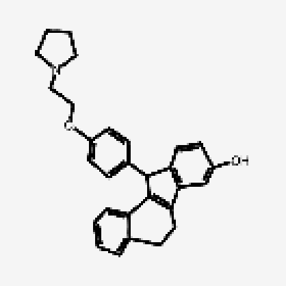 Oc1ccc2c(c1)C1=C(c3ccccc3CC1)C2c1ccc(OCCN2CCCC2)cc1